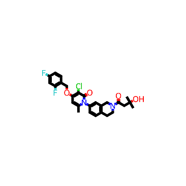 Cc1cc(OCc2ccc(F)cc2F)c(Cl)c(=O)n1-c1ccc2c(c1)CN(C(=O)CC(C)(C)O)CC2